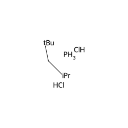 CC(C)CC(C)(C)C.Cl.Cl.P